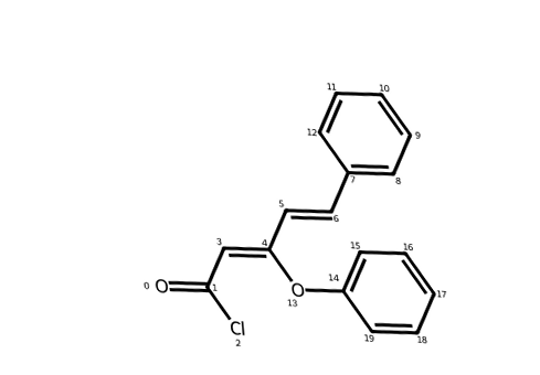 O=C(Cl)C=C(C=Cc1ccccc1)Oc1ccccc1